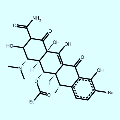 CCC(=O)O[C@H]1[C@H]2C(=C(O)[C@]3(O)C(=O)C(C(N)=O)C(O)[C@@H](N(C)C)[C@H]13)C(=O)c1c(ccc(C(C)(C)C)c1O)[C@@H]2C